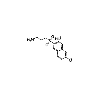 Cl.NCCCS(=O)(=O)c1ccc2cc(Cl)ccc2c1